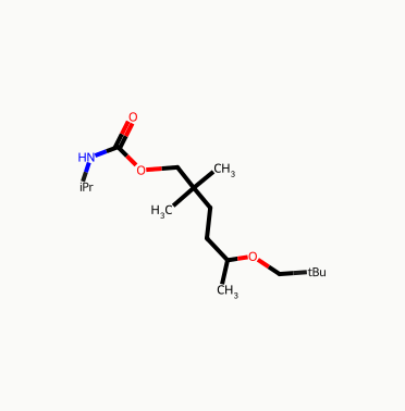 CC(C)NC(=O)OCC(C)(C)CCC(C)OCC(C)(C)C